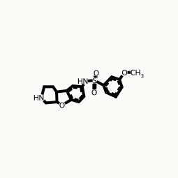 COc1cccc(S(=O)(=O)Nc2ccc3c(c2)C2CCNCC2O3)c1